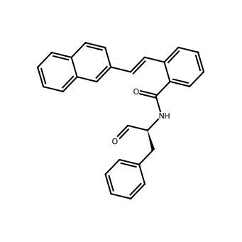 O=C[C@H](Cc1ccccc1)NC(=O)c1ccccc1/C=C/c1ccc2ccccc2c1